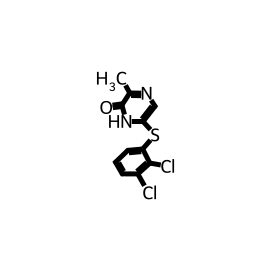 Cc1ncc(Sc2cccc(Cl)c2Cl)[nH]c1=O